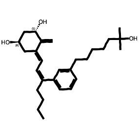 C=C1C(=CC=C(CCCC)c2cccc(CCCCCC(C)(C)O)c2)C[C@@H](O)C[C@@H]1O